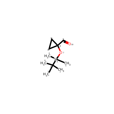 CC(C)(C)[Si](C)(C)OC1(C=O)CC1